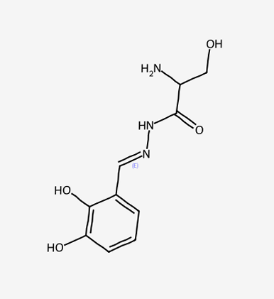 NC(CO)C(=O)N/N=C/c1cccc(O)c1O